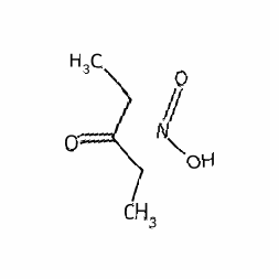 CCC(=O)CC.O=NO